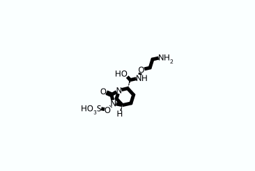 NCCONC(O)[C@@H]1CC[C@@H]2CN1C(=O)N2OS(=O)(=O)O